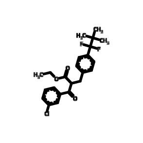 CCOC(=O)C(Cc1ccc(C(F)(F)C(C)(C)C)cc1)C(=O)c1cccc(Cl)c1